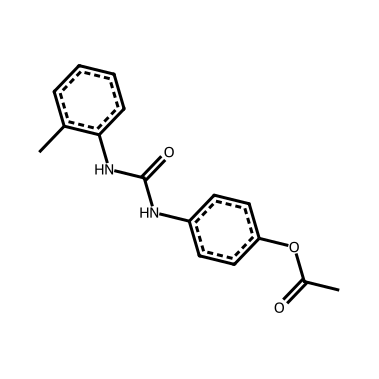 CC(=O)Oc1ccc(NC(=O)Nc2ccccc2C)cc1